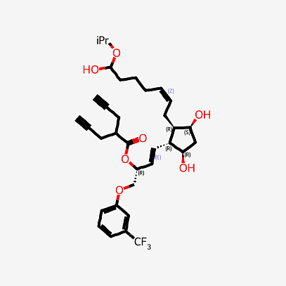 C#CCC(CC#C)C(=O)O[C@H](/C=C/[C@@H]1[C@@H](C/C=C\CCCC(O)OC(C)C)[C@@H](O)C[C@H]1O)COc1cccc(C(F)(F)F)c1